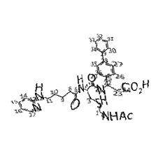 CC(=O)NCSC[C@@H](NC(=O)CCCCNc1ccccn1)C(=O)NC(CC(=O)O)c1ccc(-c2ccccc2)cc1